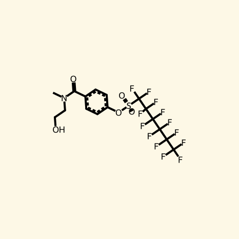 CN(CCO)C(=O)c1ccc(OS(=O)(=O)C(F)(F)C(F)(F)C(F)(F)C(F)(F)C(F)(F)C(F)(F)F)cc1